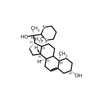 C[C@]12CCC3[C@@H](CC=C4C[C@@H](O)CC[C@@]43C)[C@@H]1CC[C@@H]2[C@@](C)(O)C1SCCCS1